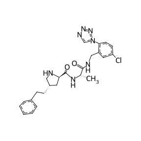 C[C@H](NC(=O)[C@H]1C[C@H](CCc2ccccc2)CN1)C(=O)NCc1cc(Cl)ccc1-n1cnnn1